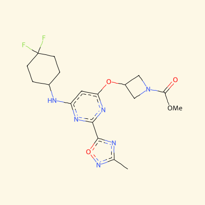 COC(=O)N1CC(Oc2cc(NC3CCC(F)(F)CC3)nc(-c3nc(C)no3)n2)C1